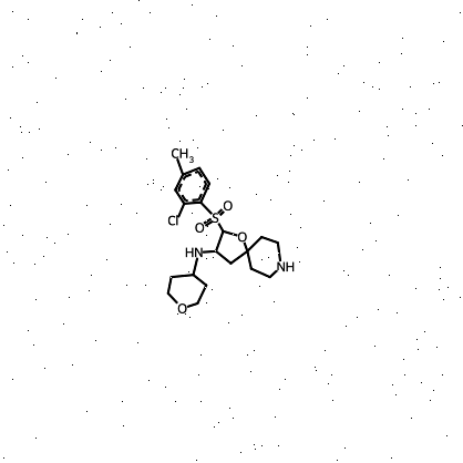 Cc1ccc(S(=O)(=O)C2OC3(CCNCC3)CC2NC2CCOCC2)c(Cl)c1